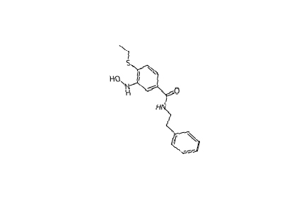 CCSc1ccc(C(=O)NCCc2ccccc2)cc1NO